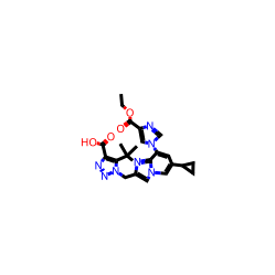 CCOC(=O)c1cn(-c2cc(C3CC3)cn3cc(Cn4nnc(C(=O)O)c4C(C)(C)C)nc23)cn1